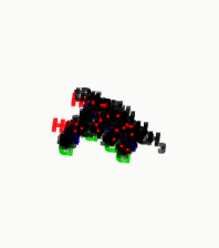 Cc1cc(-n2nc3ccc(Cl)cc3n2)c(O)c(C(C)(C)C)c1.Cc1cc(-n2nc3ccc(Cl)cc3n2)c(O)c(C(C)(C)C)c1.Cc1cc(-n2nc3ccc(Cl)cc3n2)c(O)c(C(C)(C)C)c1.Cc1cc(-n2nc3ccc(Cl)cc3n2)c(O)c(C(C)(C)C)c1.Cc1cc(-n2nc3ccc(Cl)cc3n2)c(O)c(C(C)(C)C)c1